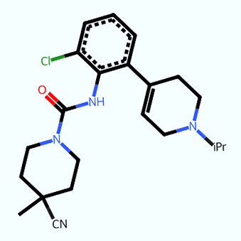 CC(C)N1CC=C(c2cccc(Cl)c2NC(=O)N2CCC(C)(C#N)CC2)CC1